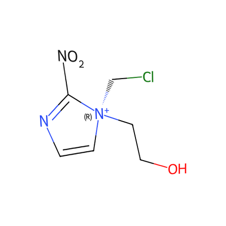 O=[N+]([O-])C1=NC=C[N@+]1(CCl)CCO